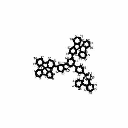 c1ccc2c(c1)-c1ccccc1C21c2ccccc2-c2ccc(-c3ccc4sc5c(-c6ccc(-c7nnc8c9ccccc9c9ccccc9n78)cc6)cc(-c6ccc7c(c6)C6(c8ccccc8-c8ccccc86)c6ccccc6-7)cc5c4c3)cc21